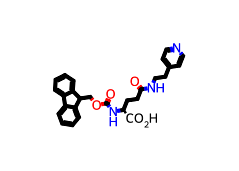 O=C(CC[C@H](NC(=O)OCC1c2ccccc2-c2ccccc21)C(=O)O)NCCc1ccncc1